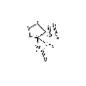 C[C]1([Mn])CCCC1.[C]=O.[C]=O.[C]=O